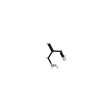 C=C([C]=O)CN